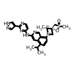 CC(C)c1ccc(N2C[C@H](CS(C)(=O)=O)[C@H]2C)c2cnc(Nc3ccnc(-c4cn[nH]c4)n3)cc12